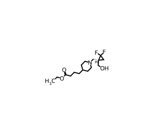 CCOC(=O)CCCC1CCN(C[C@@]2(CO)CC2(F)F)CC1